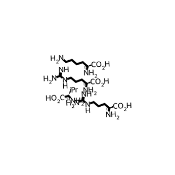 CC(C)[C@H](N)C(=O)O.N=C(N)NCCC[C@H](N)C(=O)O.N=C(N)NCCC[C@H](N)C(=O)O.NCCCC[C@H](N)C(=O)O